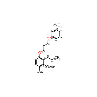 COc1c(C(C)=O)ccc(OCCCOc2cccc([N+](=O)[O-])c2)c1CCC(F)(F)F